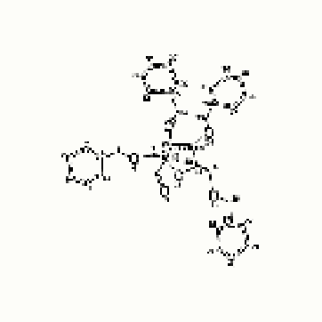 O=C[C@@]1(COCc2ccccc2)O[C@H](COCc2ccccc2)[C@@H](OCc2ccccc2)[C@@H]1OCc1ccccc1